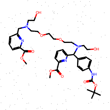 COC(=O)c1cccc(CN(CCO)CCOCCOCCN(CCO)C(c2ccc(NC(=O)OC(C)(C)C)cc2)c2cccc(C(=O)OC)n2)n1